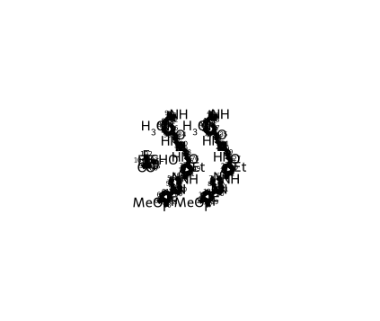 CCc1cc(Nc2nccn3c(-c4ccc(OC)c(F)c4F)cnc23)ccc1C(=O)NCC1CC(NC(=O)C2CC[N+](C)(CC3CNC3)CC2)C1.CCc1cc(Nc2nccn3c(-c4ccc(OC)c(F)c4F)cnc23)ccc1C(=O)NCC1CC(NC(=O)C2CC[N+](C)(CC3CNC3)CC2)C1.O=C([O-])C(F)(F)F.O=C[O-]